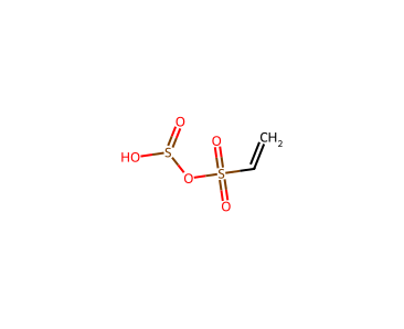 C=CS(=O)(=O)OS(=O)O